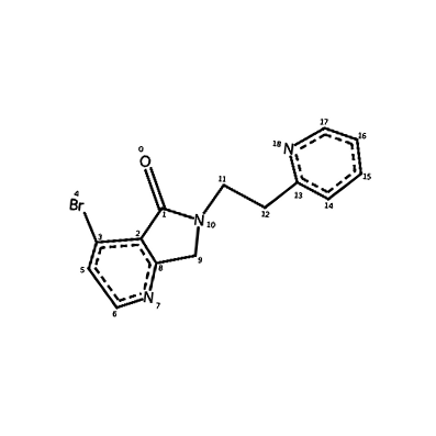 O=C1c2c(Br)ccnc2CN1CCc1ccccn1